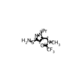 CC(C)n1nc(SN)cc1CN(C)C(=O)C(F)(F)F